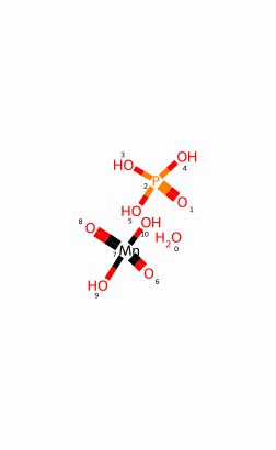 O.O=P(O)(O)O.[O]=[Mn](=[O])([OH])[OH]